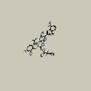 COc1cccc2[nH]c(C(=O)N[C@@H](CC(C)C)C(=O)N[C@@H](C[C@@H]3CCCNC3=O)C(=O)COC(=O)C(C)(C)C#N)cc12